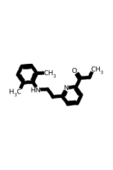 CCC(=O)c1cccc(CCNc2c(C)cccc2C)n1